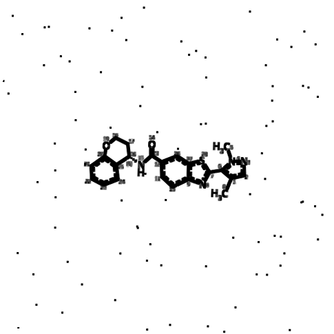 Cc1cnn(C)c1-c1nc2ccc(C(=O)N[C@H]3CCOc4ccccc43)cc2s1